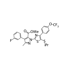 COC(=O)c1c(-c2cccc(F)c2)c(C)nn1-c1nc(-c2ccc(OC(F)(F)F)cc2)c(SC(C)C)s1